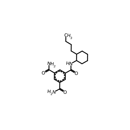 CCCCC1CCCCC1NC(=O)c1cc(C(N)=O)cc(C(N)=O)c1